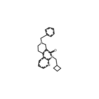 O=c1c2c(c3cccnc3n1CC1CCC1)CCN(Cc1ccccc1)C2